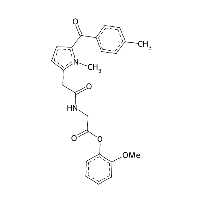 COc1ccccc1OC(=O)CNC(=O)Cc1ccc(C(=O)c2ccc(C)cc2)n1C